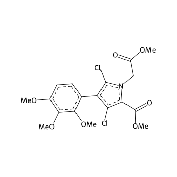 COC(=O)Cn1c(Cl)c(-c2ccc(OC)c(OC)c2OC)c(Cl)c1C(=O)OC